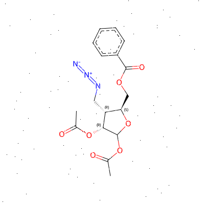 CC(=O)OC1O[C@H](COC(=O)c2ccccc2)[C@@H](CN=[N+]=[N-])[C@H]1OC(C)=O